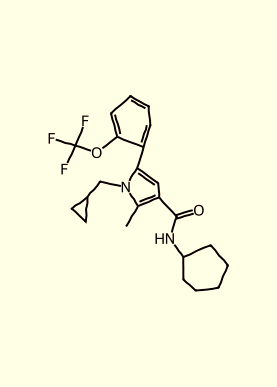 Cc1c(C(=O)NC2CCCCC2)cc(-c2ccccc2OC(F)(F)F)n1CC1CC1